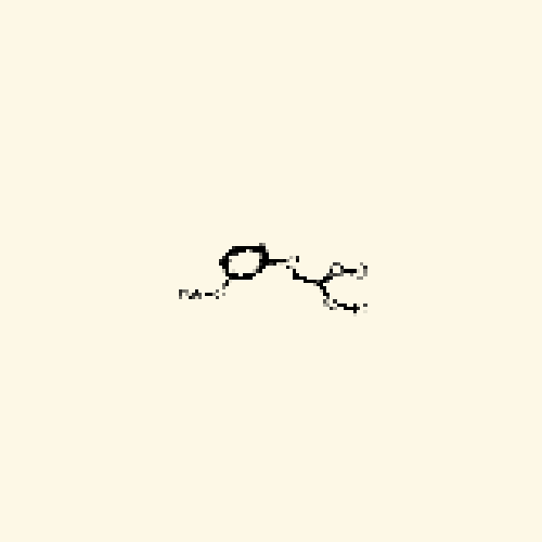 CCCCOc1cccc(OCC(OCC)OCC)c1